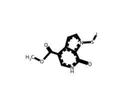 COC(=O)c1c[nH]c(=O)c2c1ccn2SI